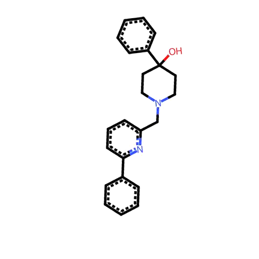 OC1(c2ccccc2)CCN(Cc2cccc(-c3ccccc3)n2)CC1